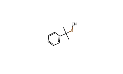 CC(C)(SC#N)c1ccccc1